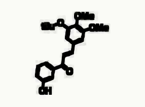 COc1cc(/C=C/C(=O)c2cccc(O)c2)cc(OC(C)(C)C)c1OC